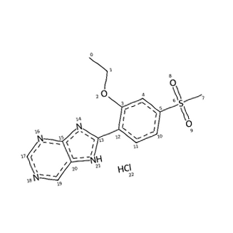 CCOc1cc(S(C)(=O)=O)ccc1-c1nc2ncncc2[nH]1.Cl